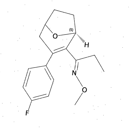 CCC(=NOC)C1=C(c2ccc(F)cc2)CC2CC[C@@H]1O2